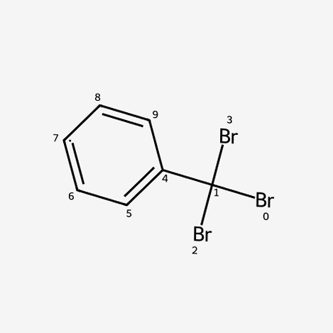 BrC(Br)(Br)c1cc[c]cc1